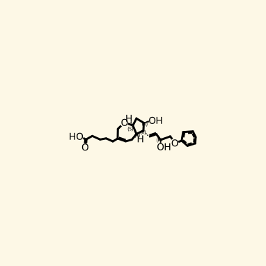 O=C(O)CCCCC1=CC[C@@H]2[C@@H](C=C[C@@H](O)COc3ccccc3)[C@H](O)C[C@@H]2OC1